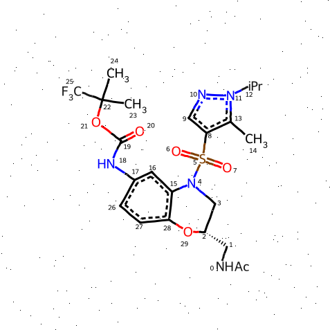 CC(=O)NC[C@H]1CN(S(=O)(=O)c2cnn(C(C)C)c2C)c2cc(NC(=O)OC(C)(C)C(F)(F)F)ccc2O1